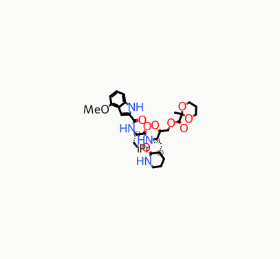 COc1cccc2[nH]c(C(=O)N[C@@H](CC(C)C)C(=O)N[C@@H](C[C@@H]3CCCNC3=O)C(=O)COC(=O)C3(C)OCCCO3)cc12